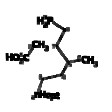 CC(=O)O.CCCCCCCCCC(C)CCP